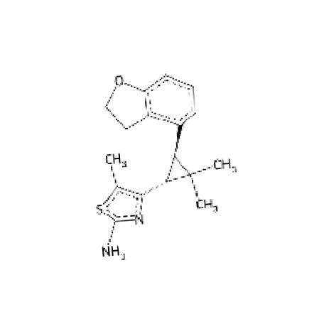 Cc1sc(N)nc1[C@@H]1[C@@H](c2cccc3c2CCO3)C1(C)C